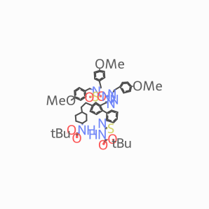 COc1ccc(CN(Cc2ccc(OC)cc2)S(=O)(=O)c2c(CCC3CCC(NC(=O)OC(C)(C)C)CC3)ccc(-c3cccc4sc(NC(=O)OC(C)(C)C)nc34)c2-c2nnn(Cc3ccc(OC)cc3)n2)cc1